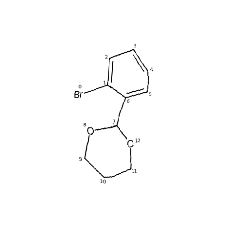 Brc1ccccc1C1OCCCO1